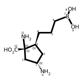 N[C@H]1C[C@H](CCCB(O)O)[C@](N)(C(=O)O)C1